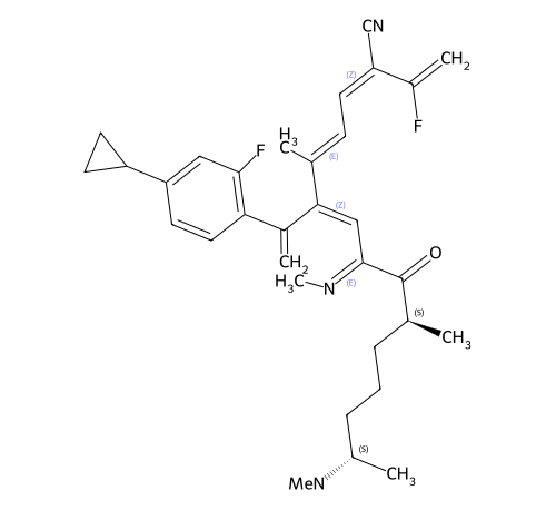 C=C(F)\C(C#N)=C/C=C(C)/C(=C/C(=N\C)C(=O)[C@@H](C)CCC[C@H](C)NC)C(=C)c1ccc(C2CC2)cc1F